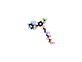 O=C(CNCCCOc1cc(C(=O)Nc2c(Cl)cncc2Cl)ccc1OC(F)F)OCCO